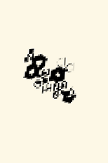 CN(C)c1cccc2c(S(=O)(=O)Nc3cc(Cl)c(Cl)cc3NS(=O)(=O)c3cccs3)cccc12